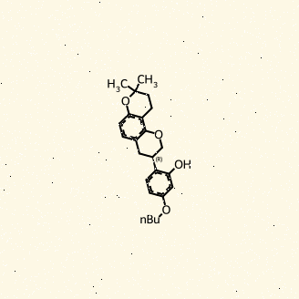 CCCCOc1ccc([C@@H]2COc3c(ccc4c3CCC(C)(C)O4)C2)c(O)c1